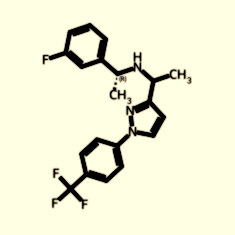 CC(N[C@H](C)c1cccc(F)c1)c1ccn(-c2ccc(C(F)(F)F)cc2)n1